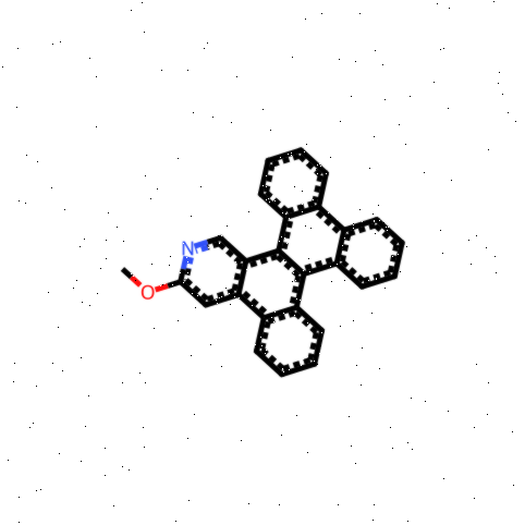 COc1cc2c3ccccc3c3c4ccccc4c4ccccc4c3c2cn1